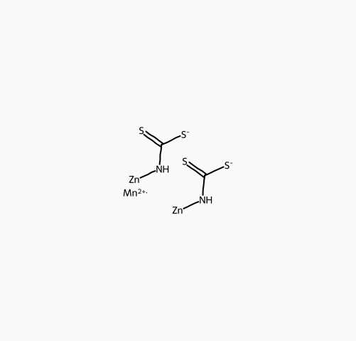 S=C([S-])[NH][Zn].S=C([S-])[NH][Zn].[Mn+2]